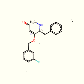 CN[C@@H](Cc1ccccc1)/C(=C\C=O)OCc1cccc(F)c1